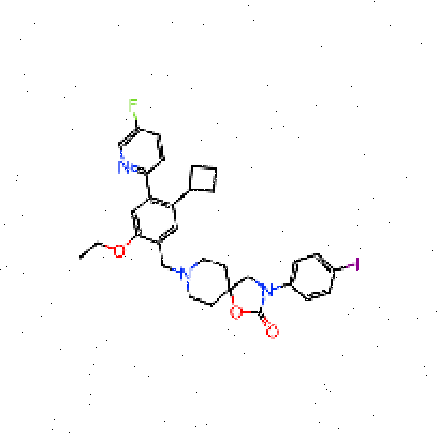 CCOc1cc(-c2ccc(F)cn2)c(C2CCC2)cc1CN1CCC2(CC1)CN(c1ccc(I)cc1)C(=O)O2